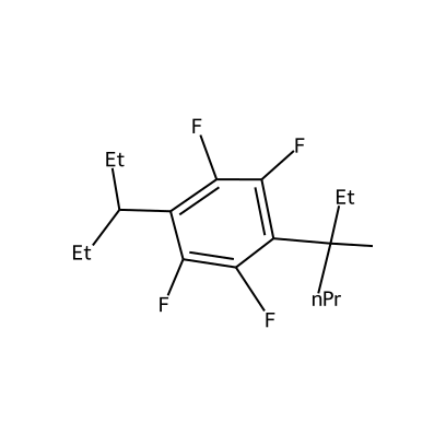 CCCC(C)(CC)c1c(F)c(F)c(C(CC)CC)c(F)c1F